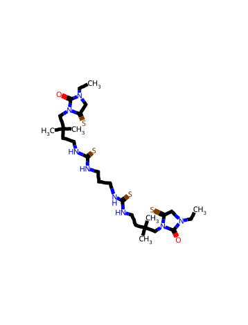 CCN1CC(=S)N(CC(C)(C)CCNC(=S)NCCCNC(=S)NCCC(C)(C)CN2C(=O)N(CC)CC2=S)C1=O